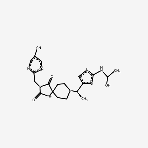 CC(O)Nc1ncc([C@@H](C)N2CCC3(CC2)NC(=O)N(Cc2ncc(C#N)cn2)C3=O)s1